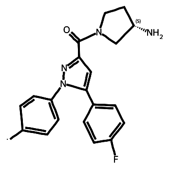 [CH2]c1ccc(-n2nc(C(=O)N3CC[C@H](N)C3)cc2-c2ccc(F)cc2)cc1